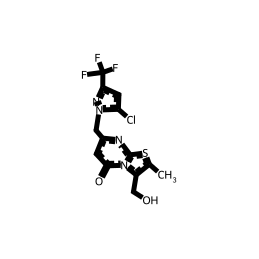 Cc1sc2nc(Cn3nc(C(F)(F)F)cc3Cl)cc(=O)n2c1CO